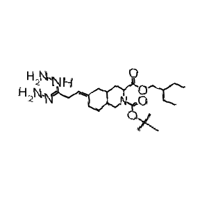 CCC(CC)COC(=O)C1CC2C/C(=C/C/C(=N/N)NN)CCC2CN1C(=O)OC(C)(C)C